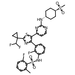 Cc1cccc(F)c1S(=O)(=O)Nc1cccc(-c2nc(C3(C(F)F)CC3)sc2-c2ccnc(N[C@H]3CC[C@H](S(C)(=O)=O)CC3)n2)c1F